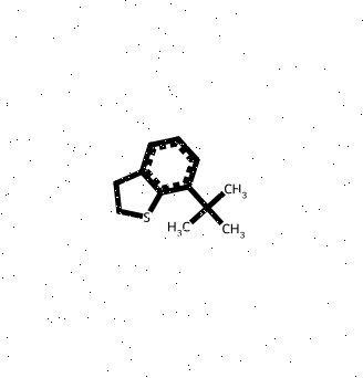 CC(C)(C)c1cccc2c1SCC2